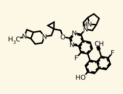 C#Cc1c(F)ccc2cc(O)cc(-c3ccc4c(N5CC6CCC(C5)N6)nc(OCC5(CN6CCC7C(C6)CN7C)CC5)nc4c3F)c12